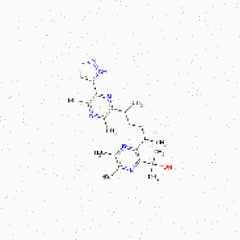 Cc1nc(C(C)(C)C)c(-c2ccn[nH]2)nc1C(C)CCC(C)c1nc(C)c(C(C)(C)C)nc1C(C)(C)O